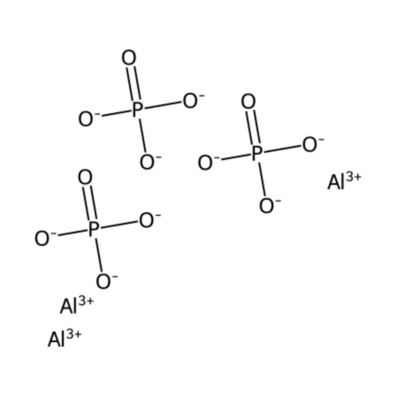 O=P([O-])([O-])[O-].O=P([O-])([O-])[O-].O=P([O-])([O-])[O-].[Al+3].[Al+3].[Al+3]